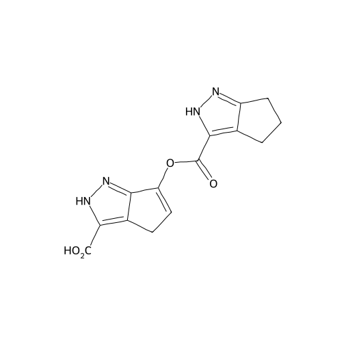 O=C(OC1=CCc2c1n[nH]c2C(=O)O)c1[nH]nc2c1CCC2